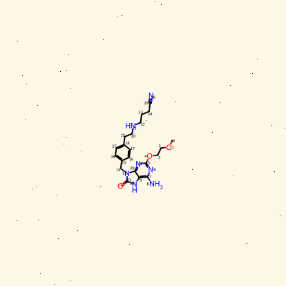 COCCOc1nc(N)c2[nH]c(=O)n(Cc3ccc(CCNCCCC#N)cc3)c2n1